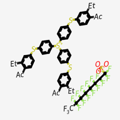 CCc1cc(Sc2ccc([S+](c3ccc(Sc4ccc(C(C)=O)c(CC)c4)cc3)c3ccc(Sc4ccc(C(C)=O)c(CC)c4)cc3)cc2)ccc1C(C)=O.O=S(=O)([O-])C(F)(F)C(F)(F)C(F)(F)C(F)(F)C(F)(F)C(F)(F)C(F)(F)C(F)(F)F